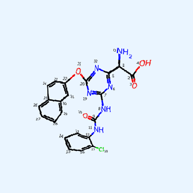 NC(C(=O)O)c1nc(NC(=O)Nc2ccccc2Cl)nc(Oc2ccc3ccccc3c2)n1